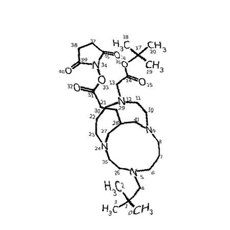 CC(C)(C)CN1CCCN2CCN(CC(=O)OC(C)(C)C)CCCN(CC1)CC(CCC(=O)ON1C(=O)CCC1=O)C2